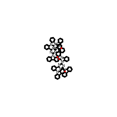 c1ccc(-n2c3ccccc3c3ccccc32)c(-c2nc(-n3c4ccccc4c4ccccc43)nc(-n3c4ccccc4n4c5cc(-c6cccc7c6nc6n(-c8ccccc8-c8nc(-n9c%10ccccc%10c%10ccccc%109)nc(-n9c%10ccccc%10n%10c%11ccccc%11nc9%10)n8)c8ccccc8n76)ccc5nc34)n2)c1